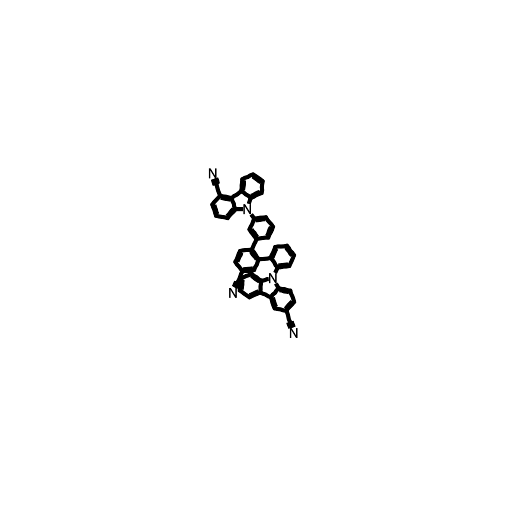 N#Cc1ccc(-c2cccc(-n3c4ccccc4c4c(C#N)cccc43)c2)c(-c2ccccc2-n2c3ccccc3c3cc(C#N)ccc32)c1